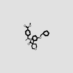 COC(=O)c1ccc([C@H](C)NC(=O)C2(c3cccc(OCc4ccccc4)c3)CCOCC2)cc1